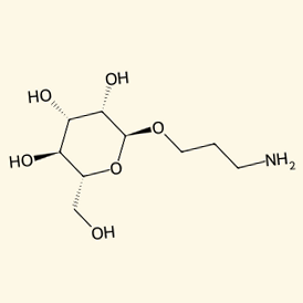 NCCCO[C@H]1O[C@H](CO)[C@@H](O)[C@H](O)[C@@H]1O